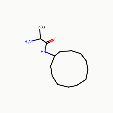 CCCCC(N)C(=O)NC1CCCCCCCCCCC1